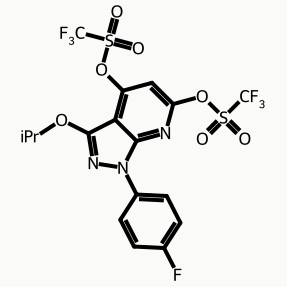 CC(C)Oc1nn(-c2ccc(F)cc2)c2nc(OS(=O)(=O)C(F)(F)F)cc(OS(=O)(=O)C(F)(F)F)c12